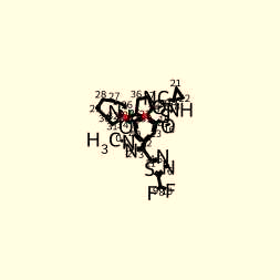 Cn1nc(-c2nnc(C(F)F)s2)c2cc(S(=O)(=O)NC3(C#N)CC3)cc(N3CC4CCC(C3)N4C(=O)C3CCCC3)c21